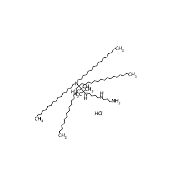 CCCCCCCCCCCCCCCCN(CCCCCCCCCCCCCCCC)C(CCCCCCCCCCCCCCCC)(CCCCCCCCCCCCCCCC)C(C)(C)C(C)(C)NCCCCNCCCN.Cl